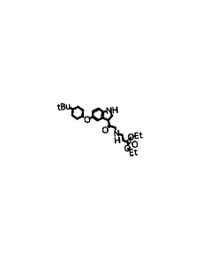 CCOP(=O)(CCNCC(=O)C1CNc2ccc(OC3CCC(C(C)(C)C)CC3)cc21)OCC